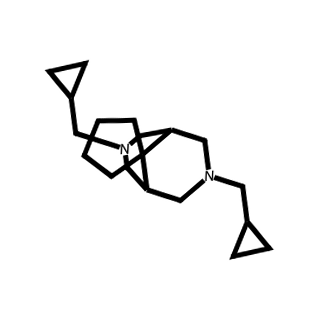 C1CCC2(C1)C1CN(CC3CC3)CC2CN(CC2CC2)C1